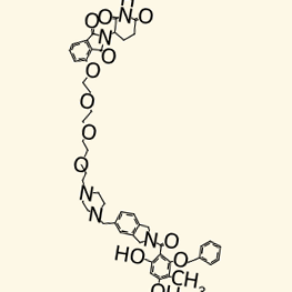 Cc1c(O)cc(O)c(C(=O)N2Cc3ccc(CN4CCN(CCOCCOCCOCCOc5cccc6c5C(=O)N(C5CCC(=O)NC5=O)C6=O)CC4)cc3C2)c1OCc1ccccc1